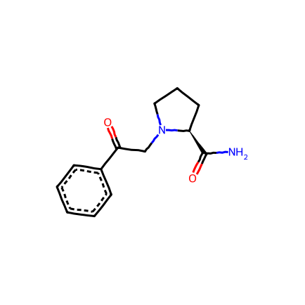 NC(=O)[C@@H]1CCCN1CC(=O)c1ccccc1